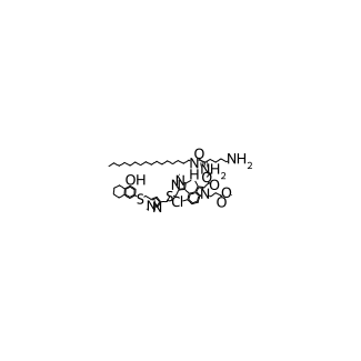 CCCCCCCCCCCCCCCCNC(=O)[C@@H](N)CCCCN.COC(=O)CCn1c(C(=O)OC)c(C)c2c(-c3c(CSCc4cc(CSc5cc(O)c6c(c5)CCCC6)n(C)n4)nn(C)c3C)c(Cl)ccc21